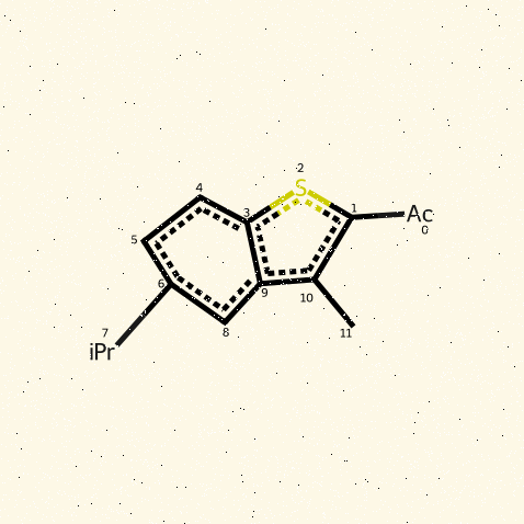 CC(=O)c1sc2ccc(C(C)C)cc2c1C